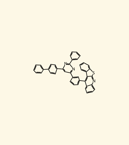 c1ccc(-c2ccc(-c3cc(-c4cccc(-c5c6ccccc6nc6sc7ccccc7c56)c4)nc(-c4ccccc4)n3)cc2)cc1